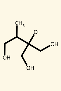 CC(CO)C([O])(CO)CO